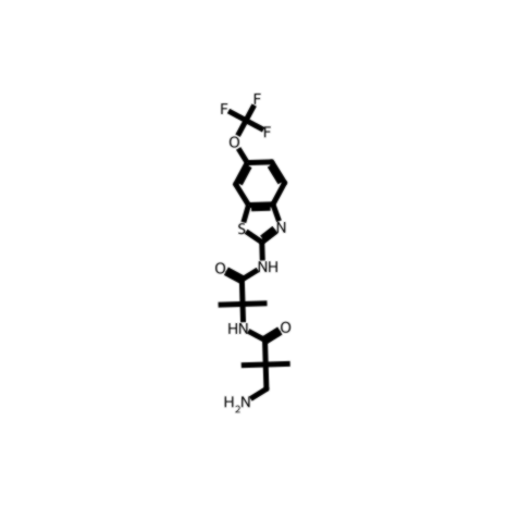 CC(C)(CN)C(=O)NC(C)(C)C(=O)Nc1nc2ccc(OC(F)(F)F)cc2s1